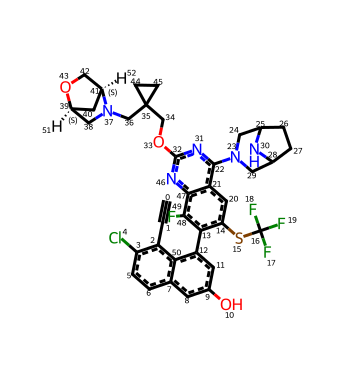 C#Cc1c(Cl)ccc2cc(O)cc(-c3c(SC(F)(F)F)cc4c(N5CC6CCC(C5)N6)nc(OCC5(CN6C[C@@H]7C[C@H]6CO7)CC5)nc4c3F)c12